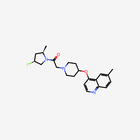 Cc1ccc2nccc(OC3CCN(CC(=O)N4C[C@@H](F)C[C@H]4C)CC3)c2c1